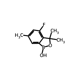 Cc1cc(F)c2c(c1)B(O)OC2(C)C